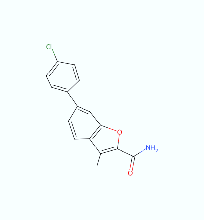 Cc1c(C(N)=O)oc2cc(-c3ccc(Cl)cc3)ccc12